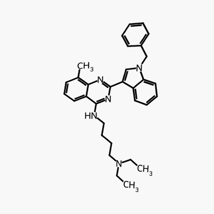 CCN(CC)CCCCNc1nc(-c2cn(Cc3ccccc3)c3ccccc23)nc2c(C)cccc12